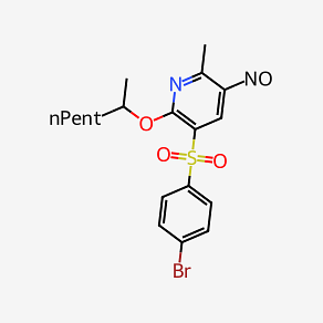 CCCCCC(C)Oc1nc(C)c(N=O)cc1S(=O)(=O)c1ccc(Br)cc1